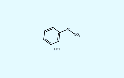 Cl.O=[N+]([O-])[N-]c1ccccc1